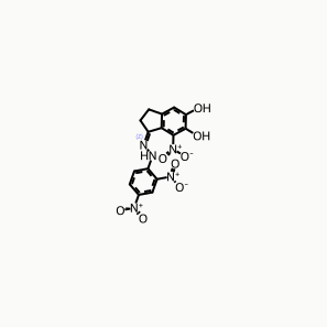 O=[N+]([O-])c1ccc(N/N=C2/CCc3cc(O)c(O)c([N+](=O)[O-])c32)c([N+](=O)[O-])c1